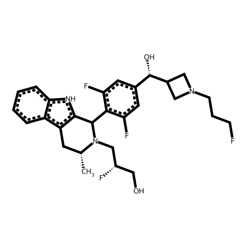 C[C@@H]1Cc2c([nH]c3ccccc23)C(c2c(F)cc([C@H](O)C3CN(CCCF)C3)cc2F)N1C[C@@H](F)CO